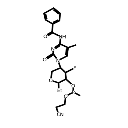 CCC1OCC(n2cc(C)c(NC(=O)c3ccccc3)nc2=O)C(F)C1OP(C)OCCC#N